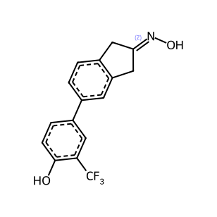 O/N=C1/Cc2ccc(-c3ccc(O)c(C(F)(F)F)c3)cc2C1